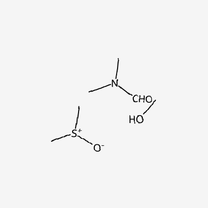 CN(C)C=O.CO.C[S+](C)[O-]